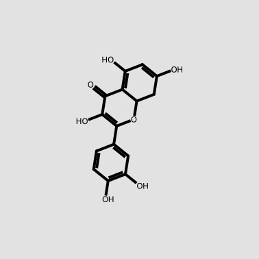 O=C1C(O)=C(c2ccc(O)c(O)c2)OC2CC(O)=CC(O)=C12